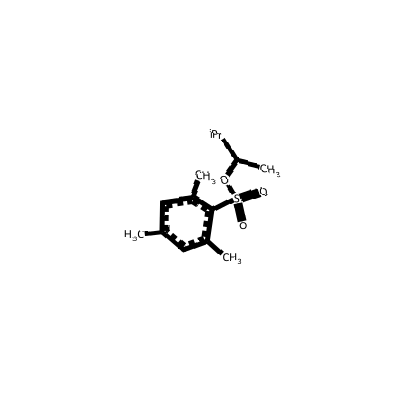 Cc1cc(C)c(S(=O)(=O)OC(C)C(C)C)c(C)c1